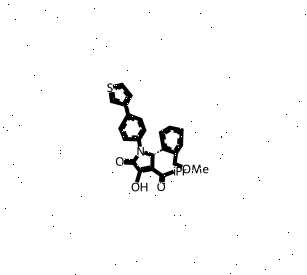 COCc1ccccc1[C@@H]1C(C(=O)C(C)C)=C(O)C(=O)N1c1ccc(-c2ccsc2)cc1